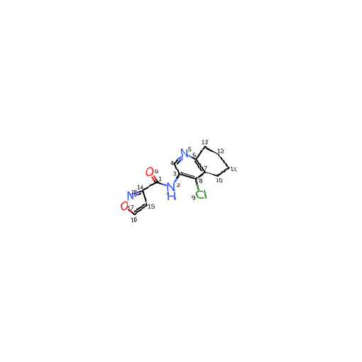 O=C(Nc1cnc2c(c1Cl)CCCC2)c1ccon1